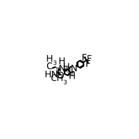 CCC[C@H](N[C@H]1CC[C@@H]2CN(c3ccc(C(F)(F)F)cc3)C[C@@H]21)C(=O)NC